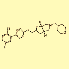 Fc1ccc(Cl)c(-c2ccc(OCC3C[C@@H]4CN(CC5CCOCC5)C[C@@H]4C3)nn2)c1